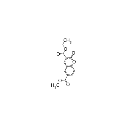 CCOC(=O)c1cc2cc(C(=O)OC)ccc2oc1=O